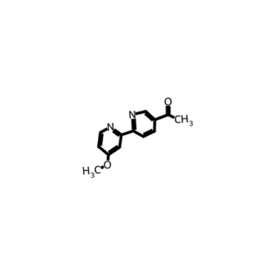 COc1ccnc(-c2ccc(C(C)=O)cn2)c1